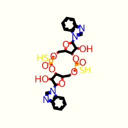 O=P1(S)OCC2OC(n3cnc4ccccc43)C(O)C2OP(=O)(S)OCC2OC(n3cnc4ccccc43)C(O)C2O1